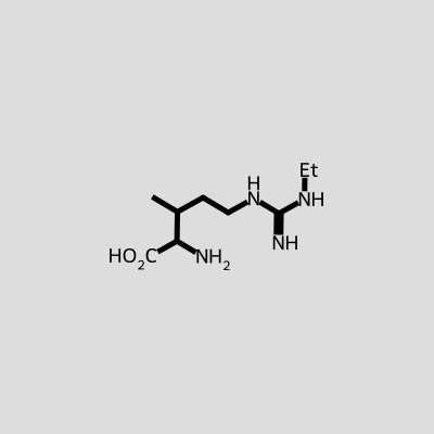 CCNC(=N)NCCC(C)C(N)C(=O)O